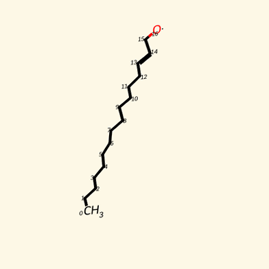 CCCCCCCCCCCCCC=CC[O]